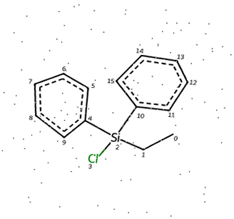 CC[Si](Cl)(c1ccccc1)c1ccccc1